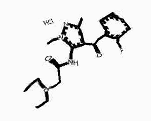 CCN(CC)CC(=O)Nc1c(C(=O)c2ccccc2F)c(C)nn1C.Cl